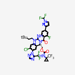 CC(C)(C)CCNC(=N)N(C(=O)c1ccc(-c2ccn(C(F)F)n2)cc1F)[C@H](COC(=O)NC1(C(F)(F)F)CC1)c1ccc(Cl)c(-n2ncnc2C(F)F)c1